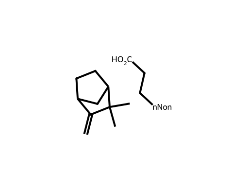 C=C1C2CCC(C2)C1(C)C.CCCCCCCCCCCC(=O)O